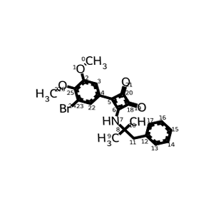 COc1cc(-c2c(NC(C)(C)Cc3ccccc3)c(=O)c2=O)cc(Br)c1OC